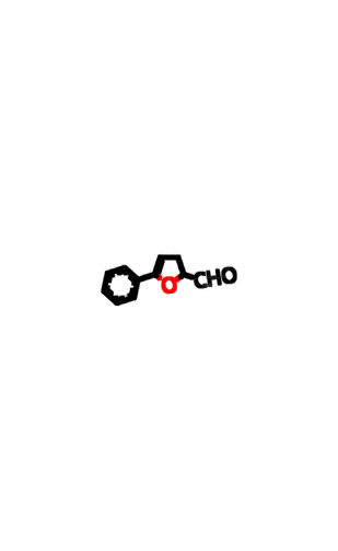 O=CC1CC=C(c2ccccc2)O1